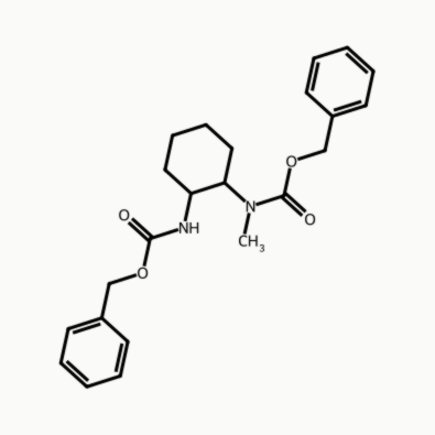 CN(C(=O)OCc1ccccc1)C1CCCCC1NC(=O)OCc1ccccc1